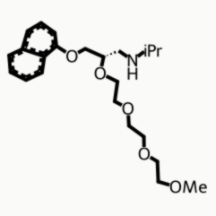 COCCOCCOCCO[C@@H](CNC(C)C)COc1cccc2ccccc12